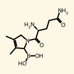 CC1=C(C)C(B(O)O)N(C(=O)[C@@H](N)CCC(N)=O)C1